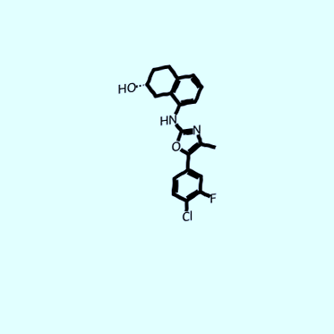 Cc1nc(Nc2cccc3c2C[C@H](O)CC3)oc1-c1ccc(Cl)c(F)c1